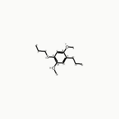 CCCSc1cc(OC)c(CCC)cc1OC